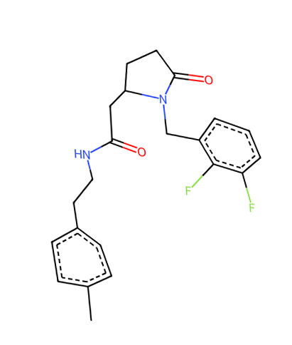 Cc1ccc(CCNC(=O)CC2CCC(=O)N2Cc2cccc(F)c2F)cc1